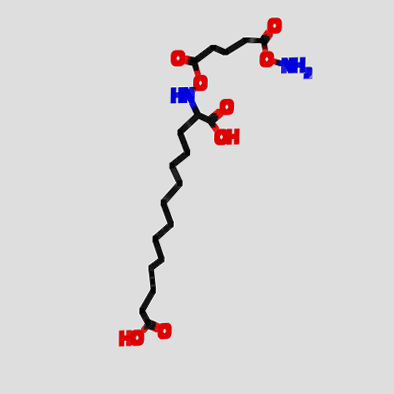 NOC(=O)CCCC(=O)ONC(CCCCCCCCCCCC(=O)O)C(=O)O